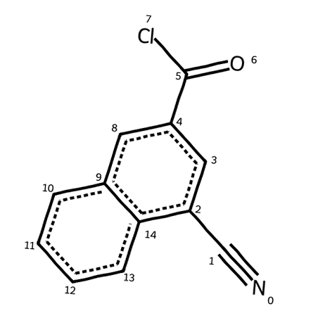 N#Cc1cc(C(=O)Cl)cc2ccccc12